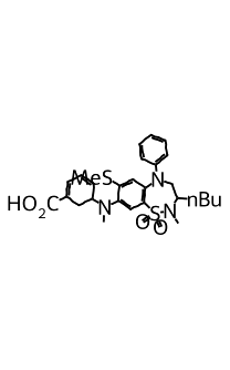 CCCCC1CN(c2ccccc2)c2cc(SC)c(N(C)C3C=CC=C(C(=O)O)C3)cc2S(=O)(=O)N1C